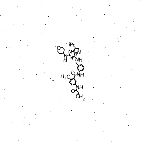 C=CC(=O)Nc1ccc(C)c(C(=O)Nc2cccc(CNc3nc(NC4CCOCC4)nc4c(C(C)C)cnn34)c2)c1